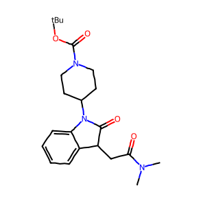 CN(C)C(=O)CC1C(=O)N(C2CCN(C(=O)OC(C)(C)C)CC2)c2ccccc21